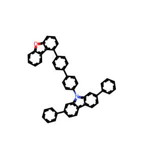 c1ccc(-c2ccc3c4ccc(-c5ccccc5)cc4n(-c4ccc(-c5ccc(-c6cccc7oc8ccccc8c67)cc5)cc4)c3c2)cc1